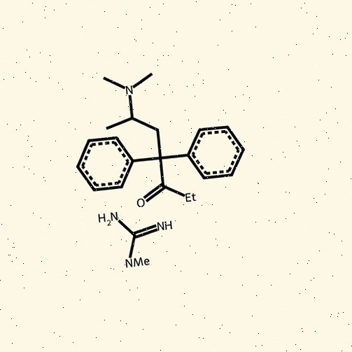 CCC(=O)C(CC(C)N(C)C)(c1ccccc1)c1ccccc1.CNC(=N)N